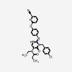 CCC(=O)N(CC)c1c[nH]/c(=N\c2ccc(Oc3cccc(C#N)n3)cc2)n(Cc2ccc(Cl)cc2)c1=O